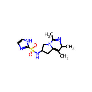 CC1=NC(C)C(C)=C2CC(NS(=O)(=O)c3ncc[nH]3)CN12